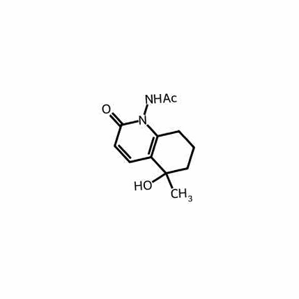 CC(=O)Nn1c2c(ccc1=O)C(C)(O)CCC2